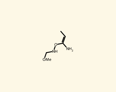 C/C=C(/N)ONCOC